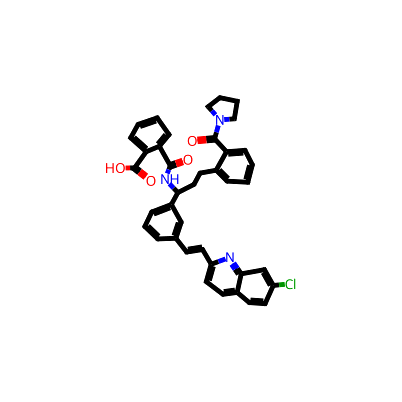 O=C(O)c1ccccc1C(=O)NC(CCc1ccccc1C(=O)N1CCCC1)c1cccc(/C=C/c2ccc3ccc(Cl)cc3n2)c1